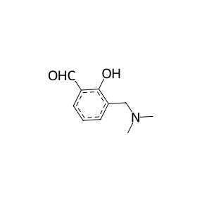 CN(C)Cc1cccc(C=O)c1O